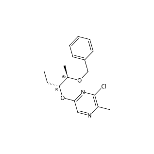 CC[C@@H](Oc1cnc(C)c(Cl)n1)[C@@H](C)OCc1ccccc1